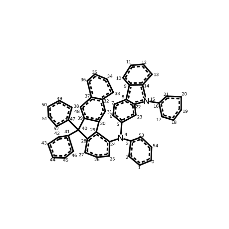 c1ccc(N(c2ccc3c4ccccc4n(-c4ccccc4)c3c2)c2cccc3c2-c2cc4ccccc4cc2C3(c2ccccc2)c2ccccc2)cc1